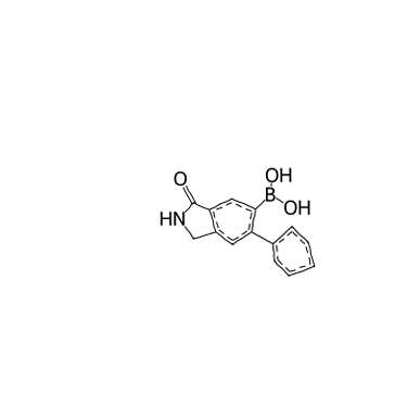 O=C1NCc2cc(-c3ccccc3)c(B(O)O)cc21